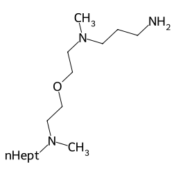 CCCCCCCN(C)CCOCCN(C)CCCN